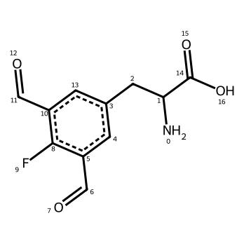 NC(Cc1cc(C=O)c(F)c(C=O)c1)C(=O)O